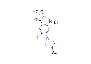 CCn1cc(C(=O)O)c(=O)c2cc(F)c(N3CCN(C(C)=O)CC3)cc21